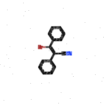 N#C/C(=C(/Br)c1ccccc1)c1ccccc1